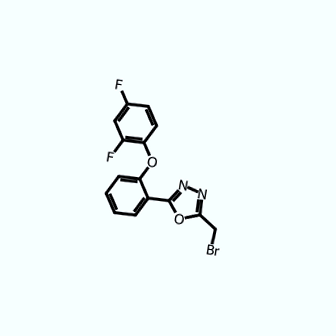 Fc1ccc(Oc2ccccc2-c2nnc(CBr)o2)c(F)c1